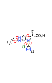 CCn1cc(S(=O)(=O)N2C[C@H]([C@@H](CC(=O)O)C3CC3)Oc3ccc(NC(=O)OC(C)(C)C(F)(F)F)cc32)c(Cl)n1